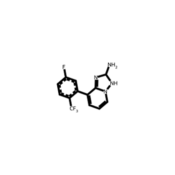 NC1N=C2C(c3cc(F)ccc3C(F)(F)F)=CC=CN2N1